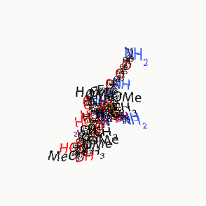 C/C=C\C#C[C@H](O[C@@H]1O[C@H](C)C(/C=N\O[C@H]2C[C@H](O)[C@H](SC(=O)c3c(C)c(I)c(O[C@@H]4O[C@@H](C)[C@H](O)[C@@H](OC)[C@H]4O)c(OC)c3OC)[C@@H](C)O2)[C@H](O)[C@H]1O[C@H]1C[C@H](OC)[C@@H](N(CC)CC(=O)NCCOCCOCCN)CO1)C1=C(NC(=O)OC)C(=O)C[C@](N)(O)/C1=C/CSSC(C)(C)CC(=O)NN